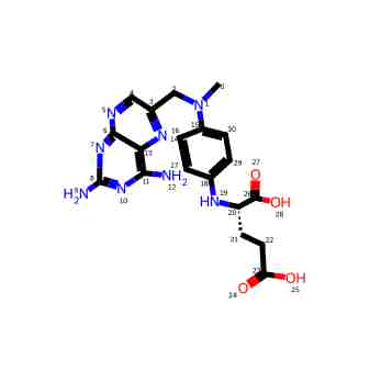 CN(Cc1cnc2nc(N)nc(N)c2n1)c1ccc(N[C@@H](CCC(=O)O)C(=O)O)cc1